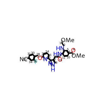 COCCNc1cc(C(=O)OC)ccc1NC(=O)Cc1c[nH]nc1-c1cccc(OCc2ccc(C#N)cc2F)n1